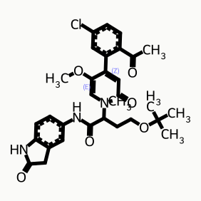 COC(=C/N(C)C(CCOC(C)(C)C)C(=O)Nc1ccc2c(c1)CC(=O)N2)/C(=C\C=O)c1cc(Cl)ccc1C(C)=O